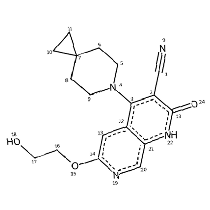 N#Cc1c(N2CCC3(CC2)CC3)c2cc(OCCO)ncc2[nH]c1=O